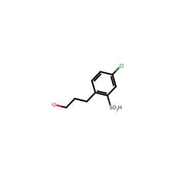 [O]CCCc1ccc(Cl)cc1S(=O)(=O)O